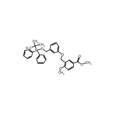 COC(=O)c1ccc(OC)c(COc2cccc(CO[Si](c3ccccc3)(c3ccccc3)C(C)(C)C)c2)c1